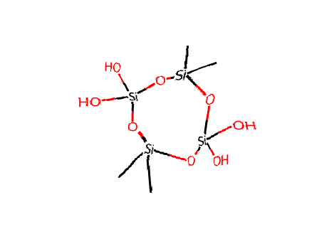 C[Si]1(C)O[Si](O)(O)O[Si](C)(C)O[Si](O)(O)O1